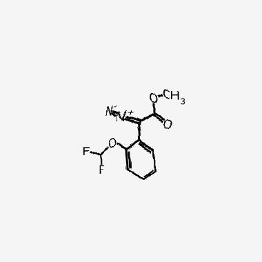 COC(=O)C(=[N+]=[N-])c1ccccc1OC(F)F